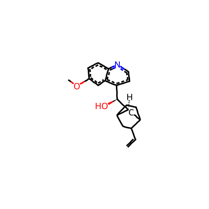 C=CC1CC2CCC1C[C@@H]2[C@@H](O)c1ccnc2ccc(OC)cc12